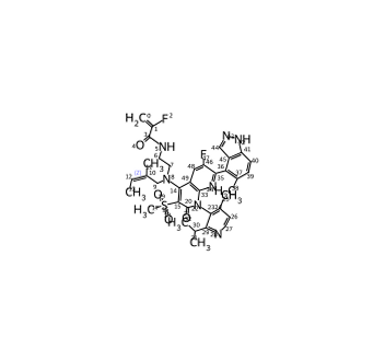 C=C(F)C(=O)NCCN(C/C(C)=C\C)c1c(S(C)(=O)=O)c(=O)n(-c2c(C)ccnc2C(C)C)c2nc(-c3c(C)ccc4[nH]ncc34)c(F)cc12